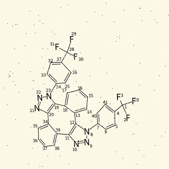 FC(F)(F)c1ccc(-n2nnc3c2-c2ccccc2-c2c(nnn2-c2ccc(C(F)(F)F)cc2)-c2ccccc2-3)cc1